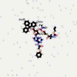 C=CCOC(=O)NC(C)(C)C(=O)SCCOP(OC1C(COC(c2ccccc2)(c2ccc(OC)cc2)c2ccc(OC)cc2)OC(n2cnc3c(NC(=O)COc4ccccc4)ncnc32)C1OC)N(C(C)C)C(C)C